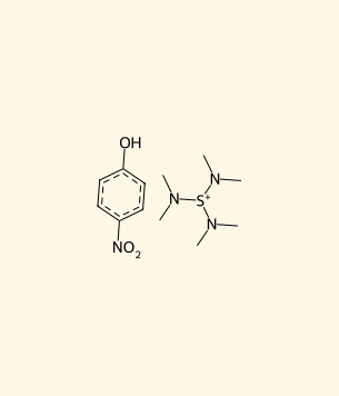 CN(C)[S+](N(C)C)N(C)C.O=[N+]([O-])c1ccc(O)cc1